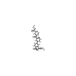 CCOC(=O)c1cccc(Nc2cc(-c3ccc4[nH]nc(N)c4c3)ccn2)c1